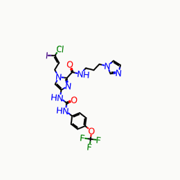 O=C(Nc1ccc(OC(F)(F)F)cc1)Nc1cn(C/C=C(/Cl)I)c(C(=O)NCCCn2ccnc2)n1